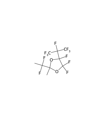 CC(F)(F)C1(C)OC(F)(F)C(F)(C(F)(C(F)(F)F)C(F)(F)F)O1